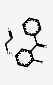 CCC=O.O=C(c1ccccc1)c1ccccc1I